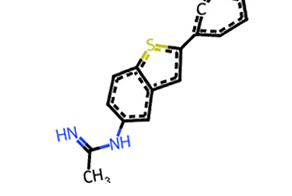 CC(=N)Nc1ccc2sc(-c3ccccc3)cc2c1